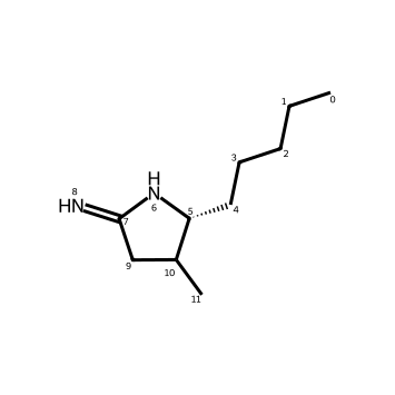 CCCCC[C@H]1NC(=N)CC1C